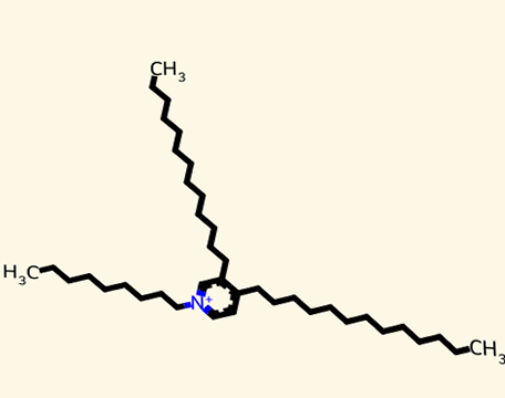 CCCCCCCCCCCCCc1cc[n+](CCCCCCCCC)cc1CCCCCCCCCCCCC